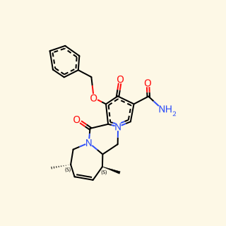 C[C@H]1C=C[C@H](C)C2Cn3cc(C(N)=O)c(=O)c(OCc4ccccc4)c3C(=O)N2C1